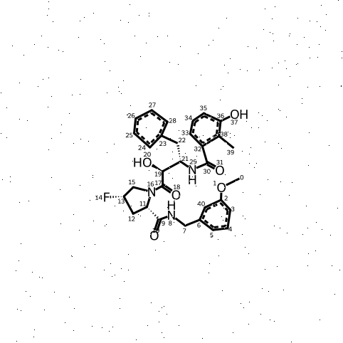 COc1cccc(CNC(=O)[C@@H]2C[C@H](F)CN2C(=O)[C@@H](O)[C@H](Cc2ccccc2)NC(=O)c2cccc(O)c2C)c1